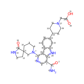 NC(=O)c1cnc(N2CCCC3(CCNC3=O)C2)c2c1[nH]c1cc(C3CCN(CC(=O)O)CC3)ccc12